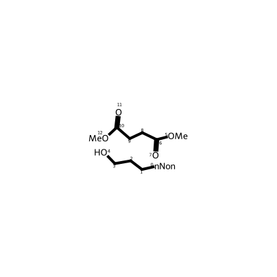 CCCCCCCCCCCCO.COC(=O)CCC(=O)OC